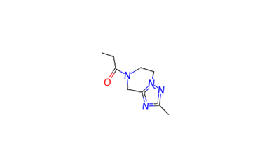 CCC(=O)N1CCn2nc(C)nc2C1